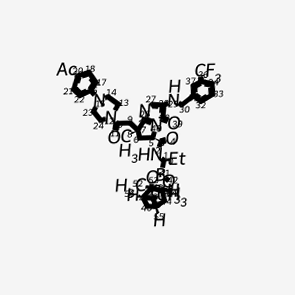 CC[C@H](NC(=O)[C@@H]1C[C@@](C)(CC(=O)N2CCN(c3ccc(C(C)=O)cc3)CC2)c2ncc(NCc3cccc(C(F)(F)F)c3)c(=O)n21)B1O[C@@H]2C[C@@H]3C[C@@H](C3(C)C)[C@]2(C)O1